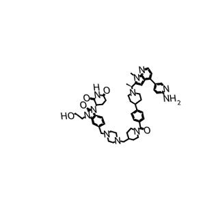 C[C@@H](c1cc2c(-c3ccc(N)nc3)ccnc2n1C)N1CCC(c2ccc(C(=O)N3CCC(CN4CCN(Cc5ccc6c(c5)n(CCO)c(=O)n6C5CCC(=O)NC5=O)CC4)CC3)cc2)CC1